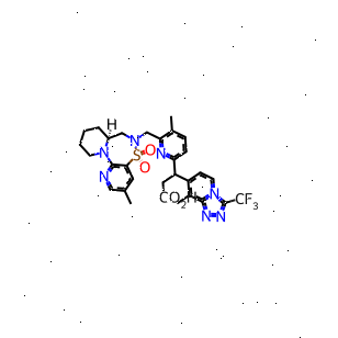 Cc1cnc2c(c1)S(=O)(=O)N(Cc1nc(C(CC(=O)O)c3ccn4c(C(F)(F)F)nnc4c3C)ccc1C)C[C@@H]1CCCCN21